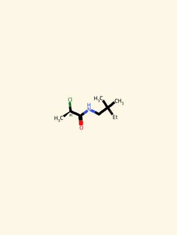 CCC(C)(C)CNC(=O)[C@@H](C)Cl